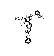 CN1CCC[C@H]1COc1nc(C(=O)O)c(N)c(N2CCN(CC(=O)OCc3ccccc3)CC2)n1